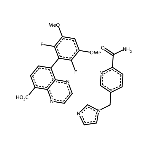 COc1cc(OC)c(F)c(-c2ccc(C(=O)O)c3nccnc23)c1F.NC(=O)c1ccc(Cn2ccnc2)cn1